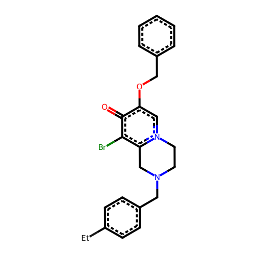 CCc1ccc(CN2CCn3cc(OCc4ccccc4)c(=O)c(Br)c3C2)cc1